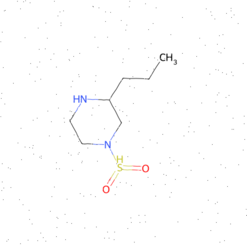 CCCC1CN([SH](=O)=O)CCN1